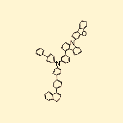 c1ccc(-c2ccc(N(c3ccc(-c4ccc(-c5cccc6ccccc56)cc4)cc3)c3cccc(-c4cccc5c4c4ccccc4n5-c4ccc5c(c4)oc4ccccc45)c3)cc2)cc1